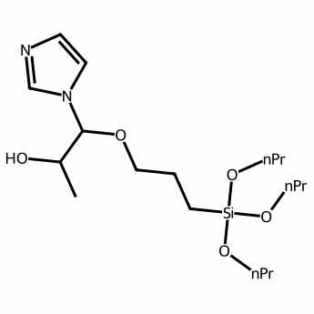 CCCO[Si](CCCOC(C(C)O)n1ccnc1)(OCCC)OCCC